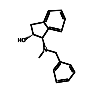 CN(Cc1ccccc1)[C@@H]1c2ccccc2C[C@H]1O